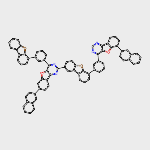 c1cc(-c2nc(-c3ccc4sc5c(-c6cccc(-c7ncnc8c7oc7c(-c9ccc%10ccccc%10c9)cccc78)c6)cccc5c4c3)nc3c2oc2cc(-c4ccc5ccccc5c4)ccc23)cc(-c2cccc3c2sc2ccccc23)c1